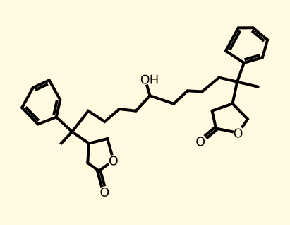 CC(CCCCC(O)CCCCC(C)(c1ccccc1)C1COC(=O)C1)(c1ccccc1)C1COC(=O)C1